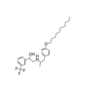 CCCCCCCCCCOc1ccc(CC(C)NCC(O)c2cccc(C(F)(F)F)c2)cc1